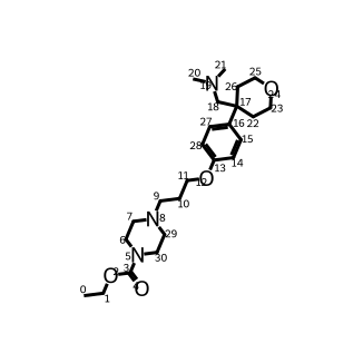 CCOC(=O)N1CCN(CCCOc2ccc(C3(CN(C)C)CCOCC3)cc2)CC1